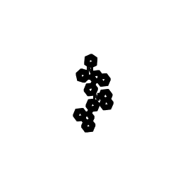 C1=C(c2c3ccccc3cc3c2c2ccccc2n3-c2ccccc2)C=C(N(c2ccc(-c3cc4ccccc4c4ccccc34)cc2)c2cccc3ccccc23)CC1